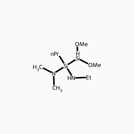 CCC[Si](NCC)(N(C)C)[SiH](OC)OC